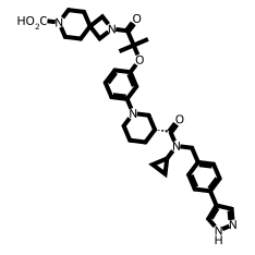 CC(C)(Oc1cccc(N2CCC[C@@H](C(=O)N(Cc3ccc(-c4cn[nH]c4)cc3)C3CC3)C2)c1)C(=O)N1CC2(CCN(C(=O)O)CC2)C1